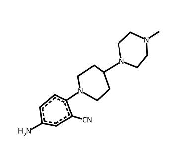 CN1CCN(C2CCN(c3ccc(N)cc3C#N)CC2)CC1